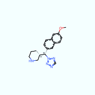 COc1ccc2cc([C@@H]([C@H]3CCCNC3)n3ncnn3)ccc2c1